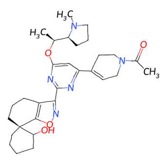 CC(=O)N1CC=C(c2cc(O[C@@H](C)[C@@H]3CCCN3C)nc(-c3noc4c3CCC[C@@]43CCCCC3O)n2)CC1